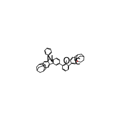 c1ccc(-n2c3ccc(-c4cccc5c4oc4cc6c(cc45)C4CC5CC(CC6C5)C4)cc3c3cc4c(cc32)C2CC3CC(CC4C3)C2)cc1